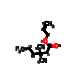 C=CCOC(=O)CC(C#N)(C#N)CCC(F)(F)F